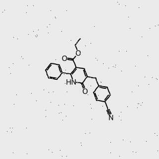 CCOC(=O)c1cc(Cc2ccc(C#N)cc2)c(=O)[nH]c1-c1ccccc1